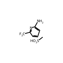 CS(=O)(=O)O.Nc1cccc(C(F)(F)F)n1